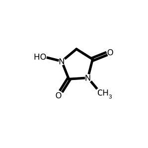 CN1C(=O)CN(O)C1=O